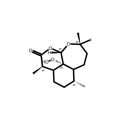 C[C@@H]1CCC2[C@@H](C)C(=O)O[C@@H]3O[C@](C)(I)CCC1[C@@]23OO